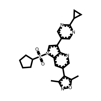 Cc1noc(C)c1-c1cnc2c(-c3cnc(C4CC4)nc3)cn(S(=O)(=O)C3CCCC3)c2c1